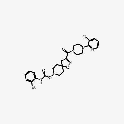 CCc1ccccc1NC(=O)ON1CCC2(CC1)CC(C(=O)N1CCN(c3ncccc3Cl)CC1)=NO2